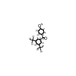 COc1ccc(C(=O)c2cc(C(C)(C)C)cc(C(C)(C)C)c2)cc1